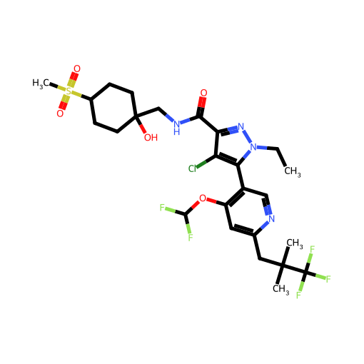 CCn1nc(C(=O)NCC2(O)CCC(S(C)(=O)=O)CC2)c(Cl)c1-c1cnc(CC(C)(C)C(F)(F)F)cc1OC(F)F